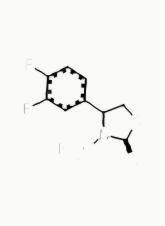 O=C(O)N1C(=S)SCC1c1ccc(F)c(F)c1